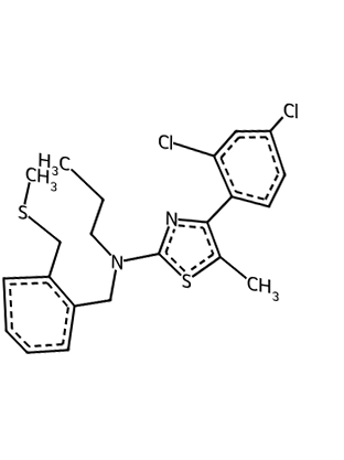 CCCN(Cc1ccccc1CSC)c1nc(-c2ccc(Cl)cc2Cl)c(C)s1